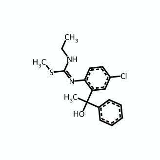 CCN/C(=N\c1ccc(Cl)cc1C(C)(O)c1ccccc1)SC